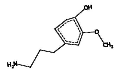 COc1cc(CCCN)ccc1O